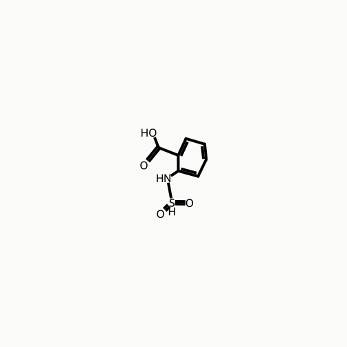 O=C(O)c1ccccc1N[SH](=O)=O